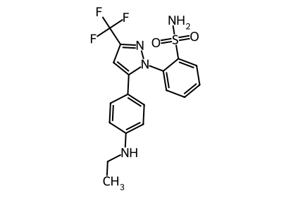 CCNc1ccc(-c2cc(C(F)(F)F)nn2-c2ccccc2S(N)(=O)=O)cc1